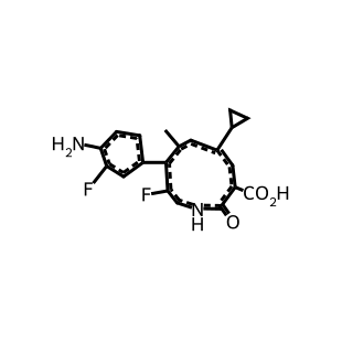 Cc1cc(C2CC2)cc(C(=O)O)c(=O)[nH]cc(F)c1-c1ccc(N)c(F)c1